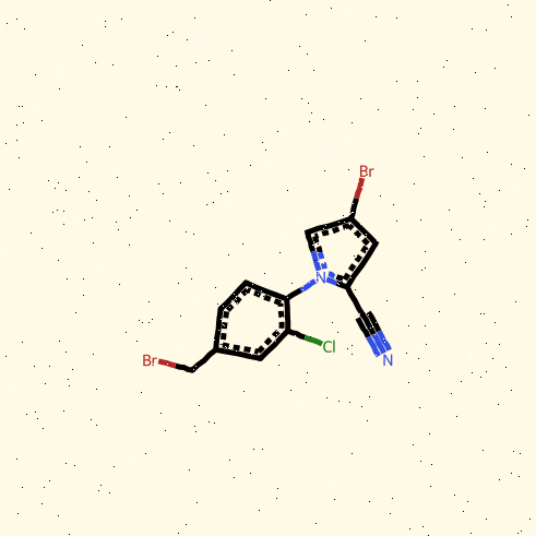 N#Cc1cc(Br)cn1-c1ccc(CBr)cc1Cl